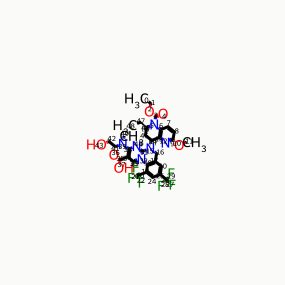 CCOC(=O)N1c2ccc(OC)nc2[C@@H](N(Cc2cc(C(F)(F)F)cc(C(F)(F)F)c2)c2ncc(C(=O)O)c(N(C)CCO)n2)C[C@H]1CC